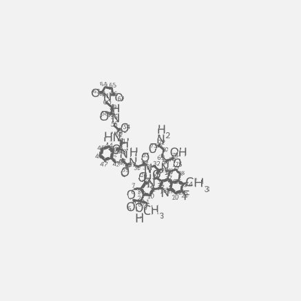 CC[C@@]1(O)C(=O)OCc2c1cc1n(c2=O)Cc2c-1nc1cc(F)c(C)c3c1c2[C@@H](N(C(=O)CNC(=O)CNC(=O)[C@H](Cc1ccccc1)NC(=O)CNC(=O)CNC(=O)CCN1C(=O)C=CC1=O)[C@@H](CCC(N)=O)C(=O)O)CC3